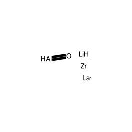 [La].[LiH].[O]=[AlH].[Zr]